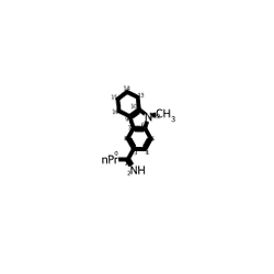 CCCC(=N)c1ccc2c(c1)c1c(n2C)CCCC1